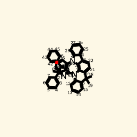 CC1(c2ccccc2)N=C(N2c3ccccc3C(C)(C)c3ccc4c5ccccc5n(-c5ccccc5)c4c32)N=C1c1ccccc1